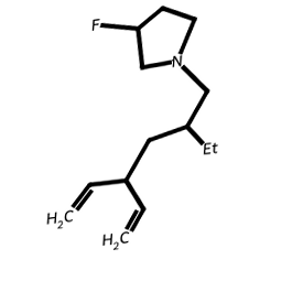 C=CC(C=C)CC(CC)CN1CCC(F)C1